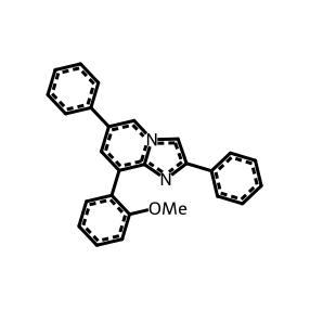 COc1ccccc1-c1cc(-c2ccccc2)cn2cc(-c3ccccc3)nc12